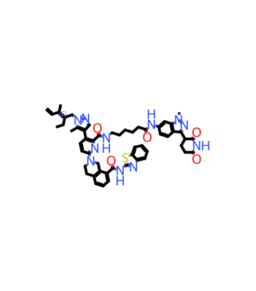 C=C/C(C)=C(\CC)Cn1ncc(-c2ccc(N3CCc4cccc(C(=O)Nc5nc6ccccc6s5)c4C3)nc2C(=O)NCCCCCC(=O)Nc2ccc3c(C4CCC(=O)NC4=O)nn(C)c3c2)c1C